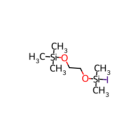 C[Si](C)(C)OCCO[Si](C)(C)I